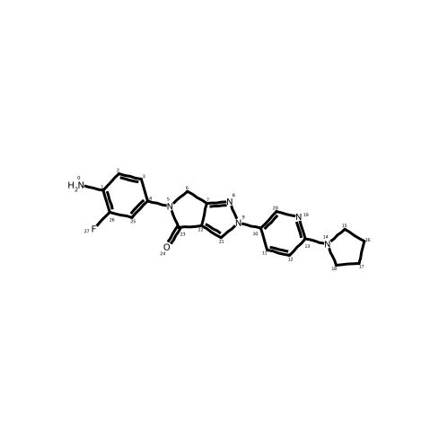 Nc1ccc(N2Cc3nn(-c4ccc(N5CCCC5)nc4)cc3C2=O)cc1F